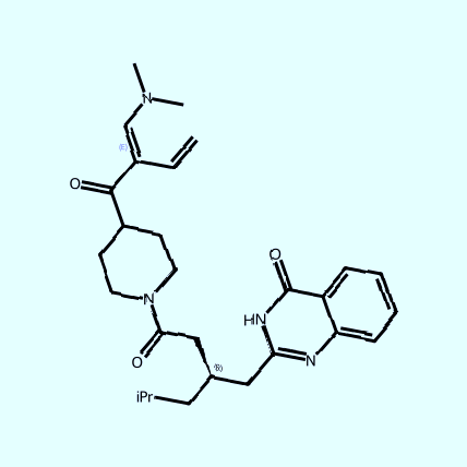 C=C/C(=C\N(C)C)C(=O)C1CCN(C(=O)C[C@@H](Cc2nc3ccccc3c(=O)[nH]2)CC(C)C)CC1